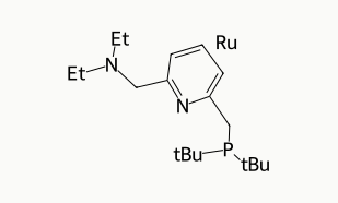 CCN(CC)Cc1cccc(CP(C(C)(C)C)C(C)(C)C)n1.[Ru]